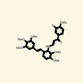 COc1ccc(C(=O)C=CNc2c(C=Cc3cc(OC)c(OC)c(OC)c3)ccc(OC)c2OC)cc1F